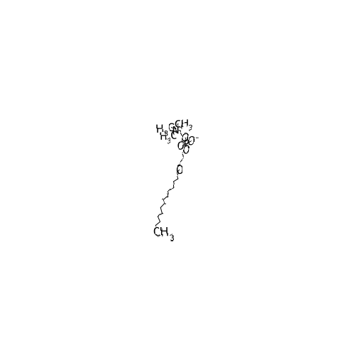 CCCCCCCCCCCCCCOCCCOP(=O)([O-])OCC[N+](C)(C)C